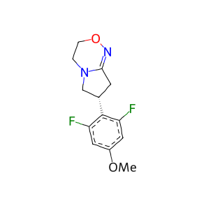 COc1cc(F)c([C@H]2CC3=NOCCN3C2)c(F)c1